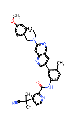 CCN(Cc1ccc(OC)cc1)c1cc2ncc(-c3cc(NC(=O)c4cc(C(C)(C)C#N)ccn4)ccc3C)cc2cn1